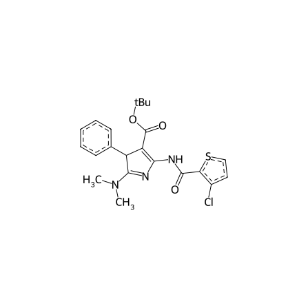 CN(C)C1=NC(NC(=O)c2sccc2Cl)=C(C(=O)OC(C)(C)C)C1c1ccccc1